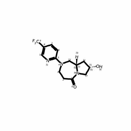 O=C1CCN(c2ccc(C(F)(F)F)cn2)C[C@@H]2C[C@H](O)CN12